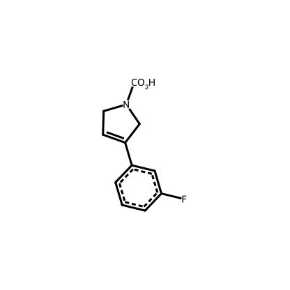 O=C(O)N1CC=C(c2cccc(F)c2)C1